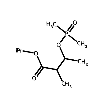 CC(C)OC(=O)C(C)C(C)OP(C)(C)=O